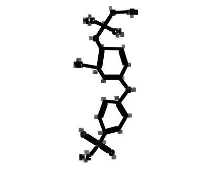 CCCCOC(C)(C)Oc1ccc(Oc2ccc(S(C)(=O)=O)cc2)cc1C#N